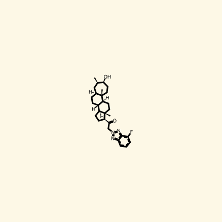 C[C@@H]1C[C@@H]2CC[C@@H]3[C@H](CC[C@]4(C)[C@@H](C(=O)Cn5nc6cccc(F)c6n5)CC[C@@H]34)[C@@]2(C)CC[C@@H]1O